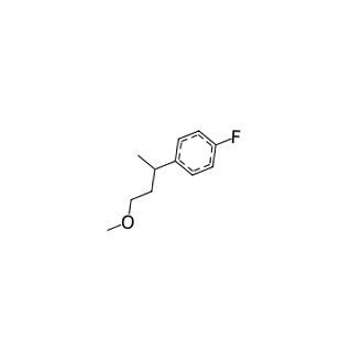 COCCC(C)c1ccc(F)cc1